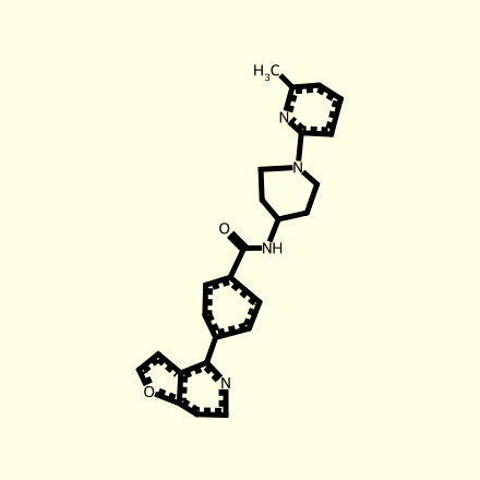 Cc1cccc(N2CCC(NC(=O)c3ccc(-c4nccc5occc45)cc3)CC2)n1